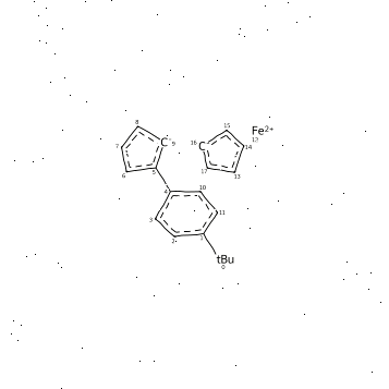 CC(C)(C)c1ccc(-c2ccc[cH-]2)cc1.[Fe+2].c1cc[cH-]c1